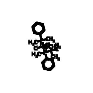 CC(C)(C)[PH](C)(c1ccccc1)[PH](Cl)(Cl)[PH](C)(C)c1ccccc1